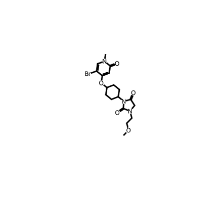 COCCN1CC(=O)N(C2CCC(Oc3cc(=O)n(C)cc3Br)CC2)C1=O